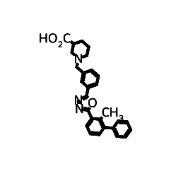 Cc1c(-c2ccccc2)cccc1-c1nnc(-c2cccc(CN3CCCC(C(=O)O)C3)c2)o1